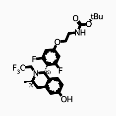 C[C@@H]1Cc2cc(O)ccc2[C@@H](c2c(F)cc(OCCNC(=O)OC(C)(C)C)cc2F)N1CC(F)(F)F